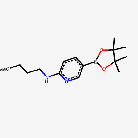 COCCCNc1ccc(B2OC(C)(C)C(C)(C)O2)cn1